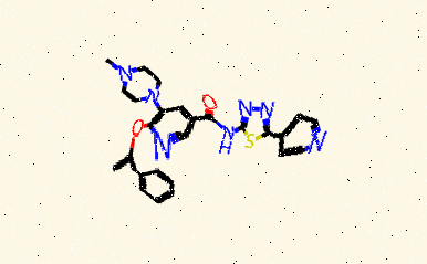 CC(Oc1ncc(C(=O)Nc2nnc(-c3ccncc3)s2)cc1N1CCN(C)CC1)c1ccccc1